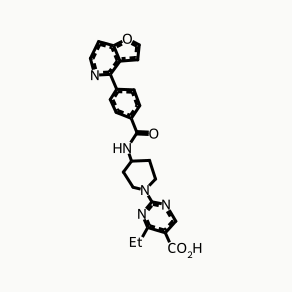 CCc1nc(N2CCC(NC(=O)c3ccc(-c4nccc5occc45)cc3)CC2)ncc1C(=O)O